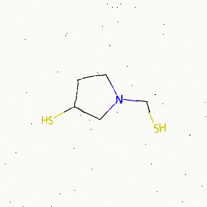 SCN1CCC(S)C1